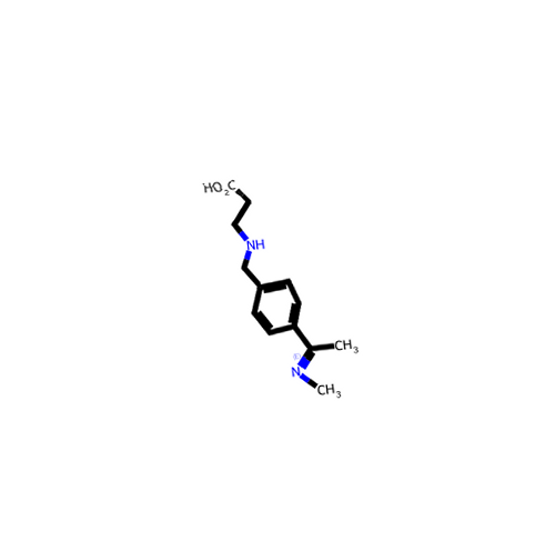 C/N=C(\C)c1ccc(CNCCC(=O)O)cc1